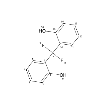 Oc1ccccc1C(F)(F)c1ccccc1O